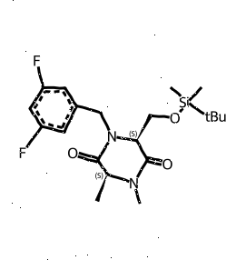 C[C@H]1C(=O)N(Cc2cc(F)cc(F)c2)[C@@H](CO[Si](C)(C)C(C)(C)C)C(=O)N1C